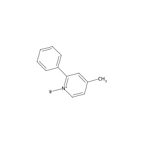 Cc1cc[n+]([Ir])c(-c2ccccc2)c1